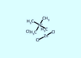 C[N+](C)(C)C.[Cl-].[Cl][Zn][Cl]